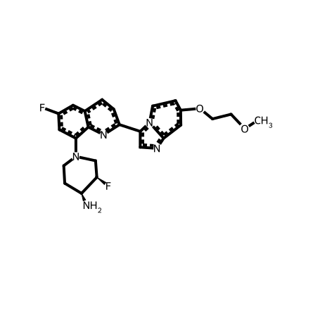 COCCOc1ccn2c(-c3ccc4cc(F)cc(N5CC[C@H](N)[C@H](F)C5)c4n3)cnc2c1